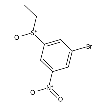 CC[S+]([O-])c1cc(Br)cc([N+](=O)[O-])c1